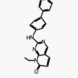 CCn1c(=O)ccc2cnc(Nc3ccc(-c4ccccc4)cc3)nc21